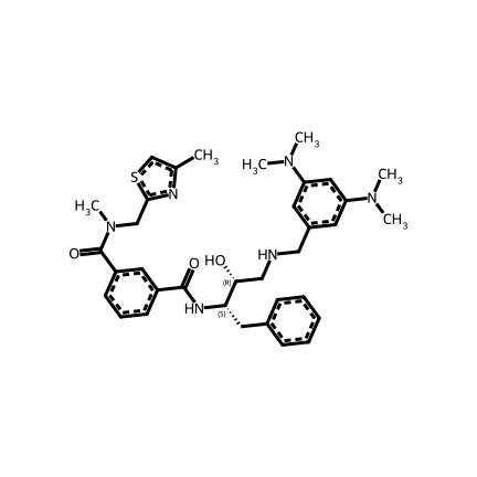 Cc1csc(CN(C)C(=O)c2cccc(C(=O)N[C@@H](Cc3ccccc3)[C@H](O)CNCc3cc(N(C)C)cc(N(C)C)c3)c2)n1